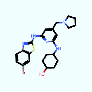 OC1CCC(Nc2cc(CN3CCCC3)cc(Nc3nc4ccc(Br)cc4s3)n2)CC1